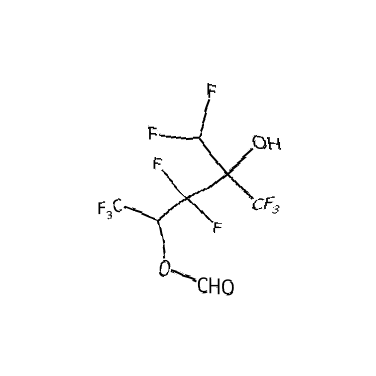 O=COC(C(F)(F)F)C(F)(F)C(O)(C(F)F)C(F)(F)F